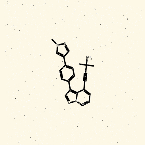 Cn1cc(-c2ccc(-c3cnn4cccc(C#CC(C)(C)N)c34)cc2)cn1